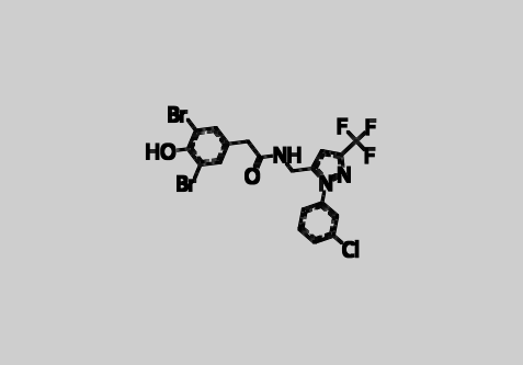 O=C(Cc1cc(Br)c(O)c(Br)c1)NCc1cc(C(F)(F)F)nn1-c1cccc(Cl)c1